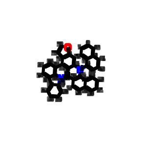 c1ccc2c(N3c4cc5occc5c5c4B(c4ccc6ccccc6c43)n3c4ccccc4c4cccc-5c43)cccc2c1